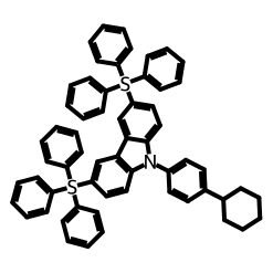 c1ccc(S(c2ccccc2)(c2ccccc2)c2ccc3c(c2)c2cc(S(c4ccccc4)(c4ccccc4)c4ccccc4)ccc2n3-c2ccc(C3CCCCC3)cc2)cc1